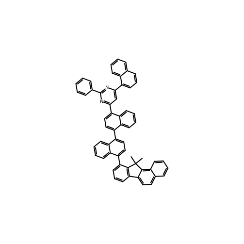 CC1(C)c2c(cccc2-c2ccc(-c3ccc(-c4cc(-c5cccc6ccccc56)nc(-c5ccccc5)n4)c4ccccc34)c3ccccc23)-c2ccc3ccccc3c21